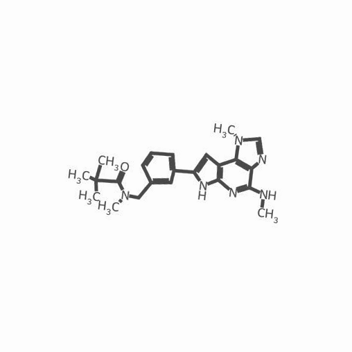 CNc1nc2[nH]c(-c3cccc(CN(C)C(=O)C(C)(C)C)c3)cc2c2c1ncn2C